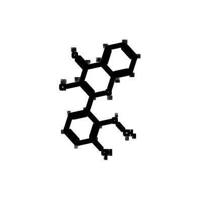 COc1c(O)cccc1-c1oc2ccccc2c(=O)c1Cl